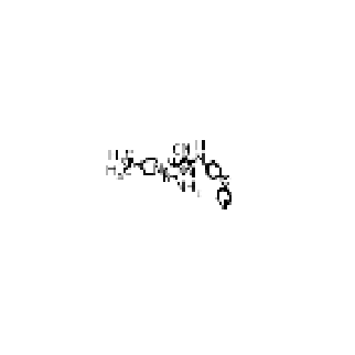 CN(C)C1CCN(c2nc(N)n3nc(Nc4ccc(Oc5ccncc5)cc4)c(C#N)c3n2)CC1